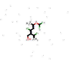 C=C(F)/C(CO)=C(F)\C=C(/C)OC(F)F